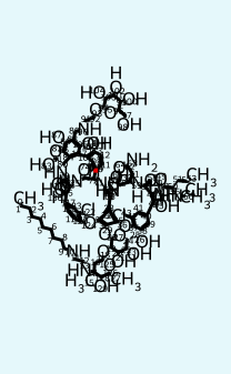 CCCCCCCCCCNCCNC1(C)C[C@H](O[C@@H]2C(O)C(O)[C@@H](CO)O[C@H]2Oc2c3cc4cc2Oc2ccc(cc2Cl)[C@@H](O)[C@@H](NC(=O)[C@@H](CC(C)C)NC)C(=O)N[C@@H](CC(N)=O)C(=O)N[C@H]4C(=O)N[C@@H]2C(=O)N[C@H](C(=O)N[C@H](C(=O)O)c4cc(O)c(CNCCOC5OC(CO)[C@@H](O)[C@H](O)[C@H]5O)c(O)c4-c4cc2ccc4O)[C@H](O)c2ccc(c(Cl)c2)O3)O[C@@H](C)[C@H]1O